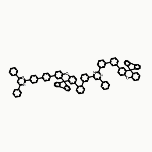 c1ccc(-c2cc(-c3ccccc3)nc(-c3ccc(-c4ccc(-c5ccc6c(c5)C5(c7cc(-c8ccccc8-c8cccc(-c9cc(-c%10ccccc%10)nc(-c%10cccc(-c%11cccc(-c%12ccc%13c(c%12)C%12(c%14ccccc%14O%13)c%13ccccc%13-c%13ccccc%13%12)c%11)c%10)n9)c8)ccc7O6)c6ccccc6-c6ccccc65)cc4)cc3)n2)cc1